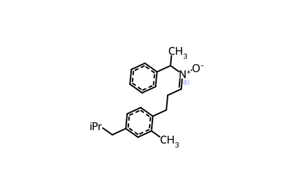 Cc1cc(CC(C)C)ccc1CC/C=[N+](/[O-])C(C)c1ccccc1